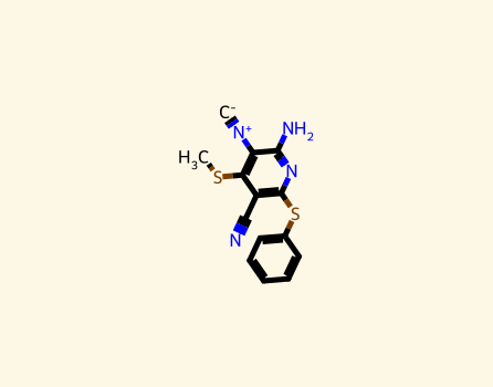 [C-]#[N+]c1c(N)nc(Sc2ccccc2)c(C#N)c1SC